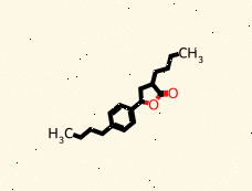 CCCCc1ccc(C2CC(CCCC)C(=O)O2)cc1